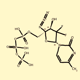 Cc1ccn([C@@H]2O[C@@](COP(=O)(O)OP(=O)(O)OP(=O)(O)O)(N=[N+]=[N-])[C@@H](O)C2(F)F)c(=O)n1